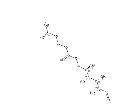 O=C[C@H](O)[C@@H](O)[C@H](O)[C@H](O)COC(=O)CCCC(=O)O